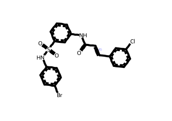 O=C(/C=C/c1cccc(Cl)c1)Nc1cccc(S(=O)(=O)Nc2ccc(Br)cc2)c1